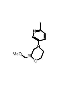 COC[C@@H]1CN(c2ccc(C)nc2)CCO1